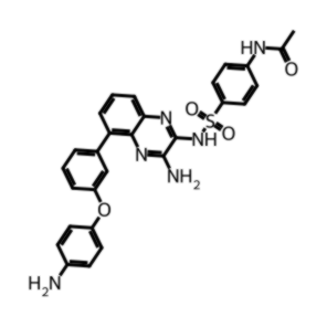 CC(=O)Nc1ccc(S(=O)(=O)Nc2nc3cccc(-c4cccc(Oc5ccc(N)cc5)c4)c3nc2N)cc1